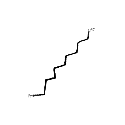 CC(=O)OCCCCCCCCCC(C)C